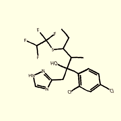 CCC(SC(F)(F)C(F)F)C(C)C(O)(Cc1nc[nH]n1)c1ccc(Cl)cc1Cl